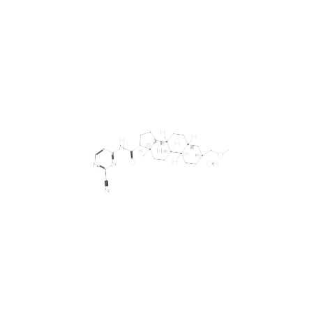 COC[C@@]1(O)CC[C@H]2[C@H](CC[C@@H]3[C@@H]2CC[C@]2(C)[C@@H](C(=O)Nc4ccnc(C#N)n4)CC[C@@H]32)C1